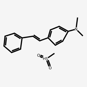 CN(C)c1ccc(C=Cc2ccccc2)cc1.C[SH](=O)=O